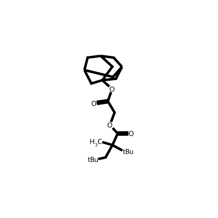 CC(C)(C)CC(C)(C(=O)OCC(=O)OC12CC3CC(CC(C3)C1)C2)C(C)(C)C